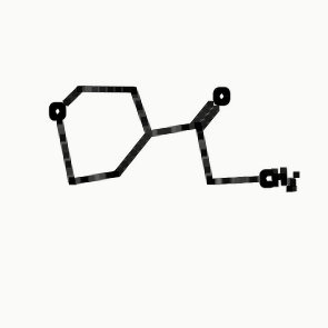 [CH2]CC(=O)C1CCOCC1